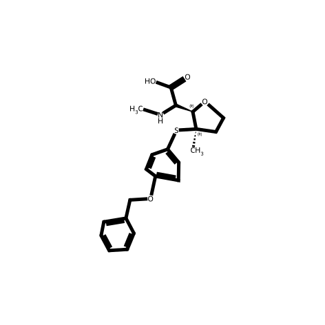 CNC(C(=O)O)[C@H]1OCC[C@@]1(C)Sc1ccc(OCc2ccccc2)cc1